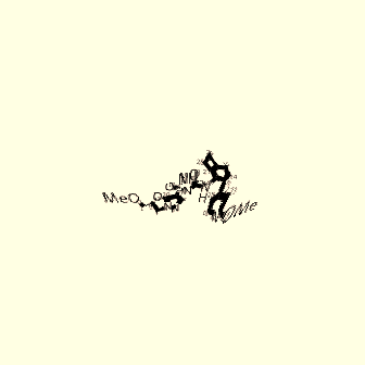 COC[C@H]1Cn2ncc([S@@](N)(=O)=NC(=O)Nc3c(-c4ccnc(OC)c4)ccc4c3CC4)c2O1